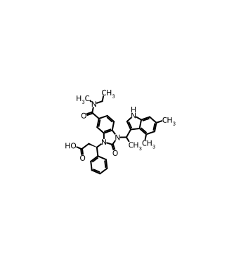 CCN(C)C(=O)c1ccc2c(c1)n([C@H](CC(=O)O)c1ccccc1)c(=O)n2C(C)c1c[nH]c2cc(C)cc(C)c12